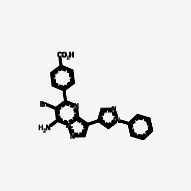 Nc1c(Br)c(-c2ccc(C(=O)O)cc2)nc2c(-c3cnn(-c4ccccc4)c3)cnn12